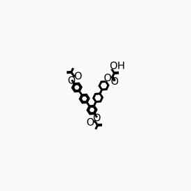 C=C(C)C(=O)Oc1ccc(-c2ccc(-c3ccc(OC(=O)C(=C)C)cc3C3CCC(C4CCC(OC(=O)C(=C)CO)CC4)CC3)cc2)cc1